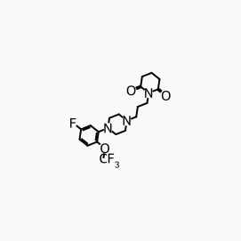 O=C1CCCC(=O)N1CCCN1CCN(c2cc(F)ccc2OC(F)(F)F)CC1